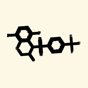 CC1COc2c(F)ccc(F)c2C1S(=O)(=O)c1ccc(C(F)(F)F)cc1